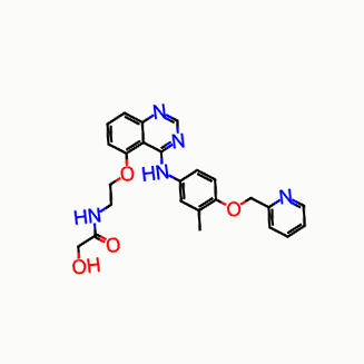 Cc1cc(Nc2ncnc3cccc(OCCNC(=O)CO)c23)ccc1OCc1ccccn1